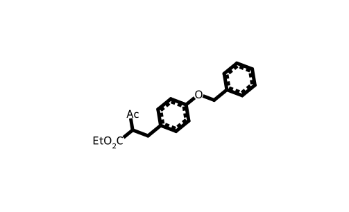 CCOC(=O)C(Cc1ccc(OCc2ccccc2)cc1)C(C)=O